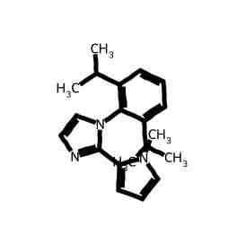 CC(C)c1cccc(C(C)C)c1-n1ccnc1-c1cccn1C